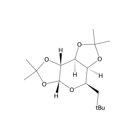 CC(C)(C)C[C@H]1O[C@@H]2OC(C)(C)O[C@@H]2[C@H]2OC(C)(C)O[C@H]21